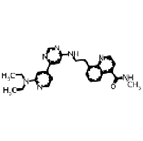 CCN(CC)c1cc(-c2cc(NCCc3cccc4c(C(=O)NC)ccnc34)ncn2)ccn1